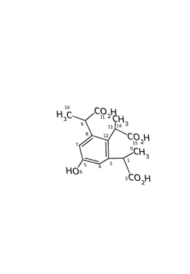 CC(C(=O)O)c1cc(O)cc(C(C)C(=O)O)c1C(C)C(=O)O